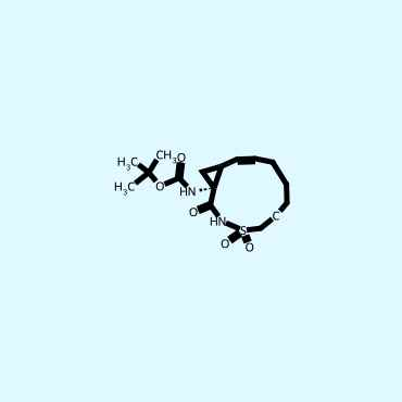 CC(C)(C)OC(=O)N[C@]12CC1/C=C\CCCCCS(=O)(=O)NC2=O